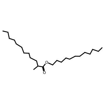 CCCCCCCCCCCCOC(=O)C(C)CCCCCCCCCC